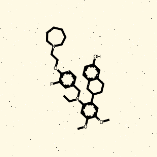 CCN(Cc1ccc(OCCN2CCCCCC2)c(F)c1)c1cc(OC)c(OC)cc1C1CCc2cc(O)ccc2C1